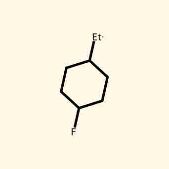 C[CH]C1CCC(F)CC1